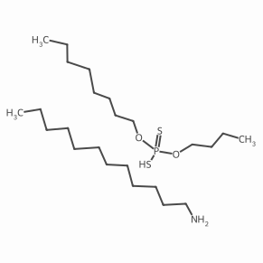 CCCCCCCCCCCCN.CCCCCCCCOP(=S)(S)OCCCC